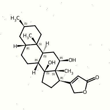 C[C@H]1CC[C@@]2(C)[C@H](CC[C@@H]3[C@@H]2C[C@@H](O)[C@]2(C)[C@@H](C4=CC(=O)OC4)CC[C@]32O)C1